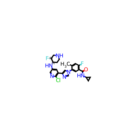 Cc1cc(F)c(C(=O)NC2CC2)cc1-n1cnc(-c2cc(N[C@H]3CCNC[C@H]3F)cnc2Cl)c1